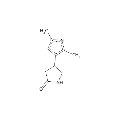 Cc1nn(C)cc1C1CNC(=O)C1